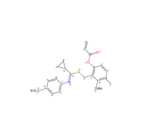 C=CC(=O)Oc1ccc(C)c(OC)c1CSC(=Nc1ccc(C(=O)OCC)cc1)C1CC1